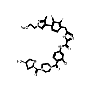 COCCn1cc(-c2ccc(Cc3cnc(C(=O)Nc4ccc(C(=O)N5CCN(C(=O)[C@H]6C[C@@H](O)CN6)CC5)c(Cl)c4)[nH]3)c(F)c2F)c(C)n1